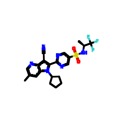 Cc1cnc2c(C#N)c(-c3ncc(S(=O)(=O)N[C@@H](C)C(F)(F)F)cn3)n(C3CCCC3)c2c1